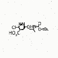 CC(COc1cc(C(=O)O)c(Cl)nn1)NC(=O)OC(C)(C)C